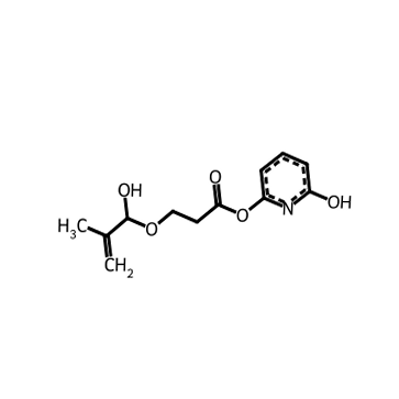 C=C(C)C(O)OCCC(=O)Oc1cccc(O)n1